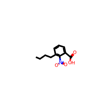 CCCCc1cccc(C(=O)O)c1[N+](=O)[O-]